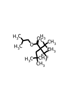 CC(C)COC(=O)C(CC(C)(C)C)(C(C)(C)C)C(F)(F)F